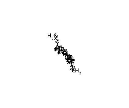 CCCCCCCc1ccc(-c2ccc(C(=O)Oc3ccc(CCCCC)c(F)c3F)cc2)c(F)c1F